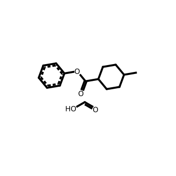 CC1CCC(C(=O)Oc2ccccc2)CC1.O=CO